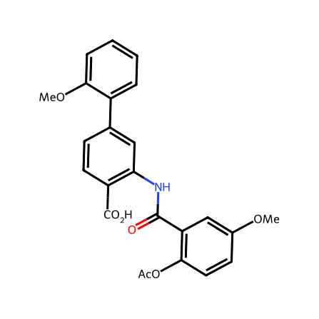 COc1ccc(OC(C)=O)c(C(=O)Nc2cc(-c3ccccc3OC)ccc2C(=O)O)c1